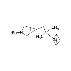 CC(C)(C)N1CC2C(C1)C2CC(C)(C)N1CC2CC1C2